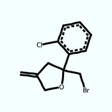 C=C1COC(CBr)(c2ccccc2Cl)C1